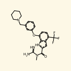 CN(C(=N)N)C(=O)c1cc2c(C(F)(F)F)ccc(Oc3cccc(CN4CCCCC4)c3)c2[nH]1